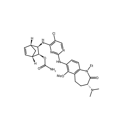 CCN1C(=O)[C@H](N(C)C)CCc2c1ccc(Nc1ncc(Cl)c(N[C@H]3[C@@H](OC(N)=O)[C@@H]4C=C[C@H]3C4)n1)c2OC